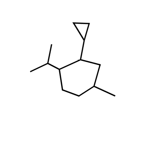 CC1CCC(C(C)C)[C](C2CC2)C1